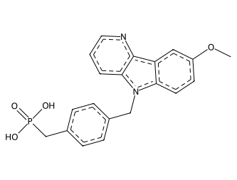 COc1ccc2c(c1)c1ncccc1n2Cc1ccc(CP(=O)(O)O)cc1